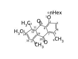 CCCCCCOc1ccc(C)c2c1C(=O)c1c(C)c(C)cc(C)c1C2=O